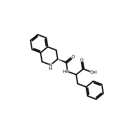 O=C(O)C(Cc1ccccc1)NC(=O)[C@@H]1Cc2ccccc2CN1